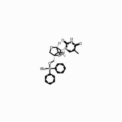 Cc1cn([C@@H]2O[C@@]3(CO[Si](c4ccccc4)(c4ccccc4)C(C)(C)C)CO[C@@H]2[C@@H]3N)c(=O)[nH]c1=O